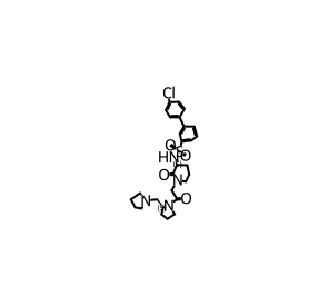 O=C1[C@@H](NS(=O)(=O)c2cccc(-c3ccc(Cl)cc3)c2)CCCN1CC(=O)N1CCC[C@H]1CN1CCCC1